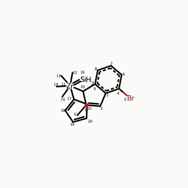 CC1=Cc2c(Br)cccc2[CH]1[Zr]([CH3])([CH3])([CH3])([CH3])(=[SiH2])[C]1=CC=CC1